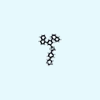 c1ccc2c(-c3cc(-c4nnc(-c5ccc(-c6cncnc6)cc5)o4)cc(-c4cccc5ccccc45)c3)cccc2c1